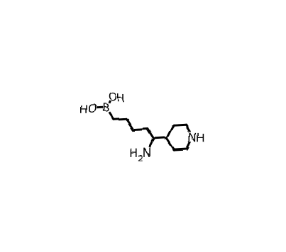 NC(CCCCB(O)O)C1CCNCC1